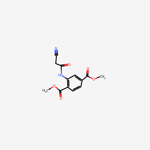 COC(=O)c1ccc(C(=O)OC)c(NC(=O)CC#N)c1